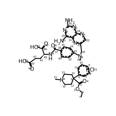 CCOC(=O)C1(c2ccccc2)CCN(C)CC1.CN(Cc1cnc2nc(N)nc(N)c2n1)c1ccc(C(=O)N[C@@H](CCC(=O)O)C(=O)O)cc1.Cl